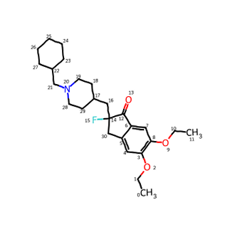 CCOc1cc2c(cc1OCC)C(=O)C(F)(CC1CCN(CC3CCCCC3)CC1)C2